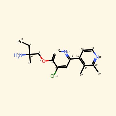 C=C(OCC(C)(N)CC(C)C)/C(Cl)=C\C(=N/C)c1ccnc(C)c1C